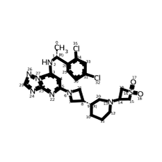 C[C@@H](Nc1cc(N2CC([C@H]3CCCN(C4CS(=O)(=O)C4)C3)C2)nc2ncnn12)c1ccc(Cl)cc1Cl